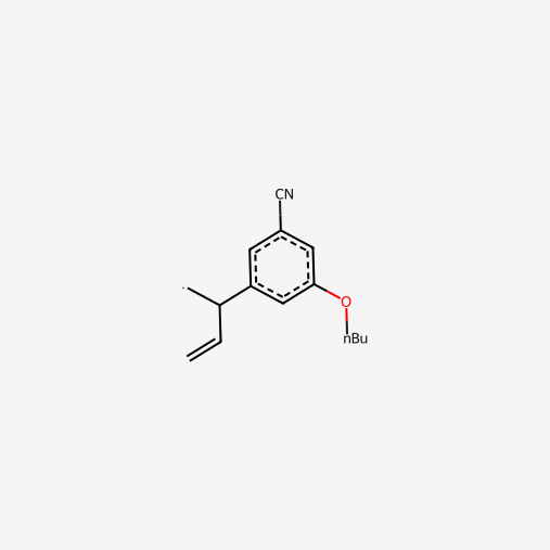 [CH2]C(C=C)c1cc(C#N)cc(OCCCC)c1